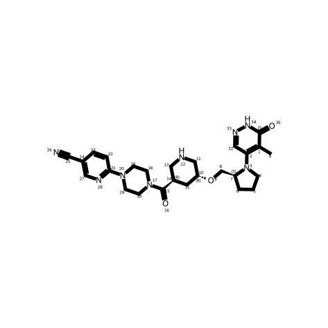 Cc1c(N2CCC[C@H]2CO[C@H]2CNC[C@H](C(=O)N3CCN(c4ccc(C#N)cn4)CC3)C2)cn[nH]c1=O